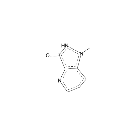 Cn1[nH]c(=O)c2ncccc21